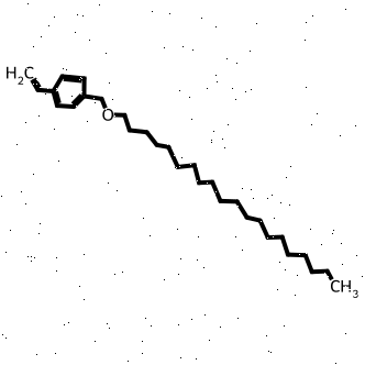 C=Cc1ccc(COCCCCCCCCCCCCCCCCCCCC)cc1